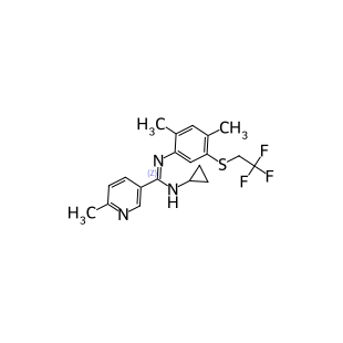 Cc1ccc(/C(=N/c2cc(SCC(F)(F)F)c(C)cc2C)NC2CC2)cn1